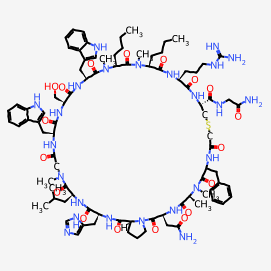 CCCC[C@H]1C(=O)N(C)[C@@H](CCCC)C(=O)N[C@@H](CCCNC(=N)N)C(=O)N[C@H](C(=O)NCC(N)=O)CSCC(=O)NC(Cc2ccccc2)C(=O)N(C)[C@@H](C)C(=O)N[C@@H](CC(N)=O)C(=O)N2CCC[C@H]2C(=O)N[C@@H](Cc2cnc[nH]2)C(=O)N[C@@H](CC(C)C)C(=O)N(C)CC(=O)N[C@@H](Cc2c[nH]c3ccccc23)C(=O)N[C@@H](CO)C(=O)N[C@@H](Cc2c[nH]c3ccccc23)C(=O)N1C